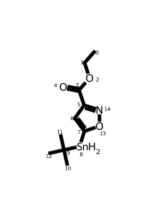 CCOC(=O)c1c[c]([SnH2][C](C)(C)C)on1